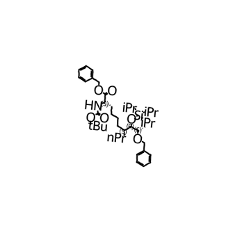 CCC[C@@H](CCCC[C@H](NC(=O)OC(C)(C)C)C(=O)OCc1ccccc1)[C@@H](O[Si](C(C)C)(C(C)C)C(C)C)[C@H](C)OCc1ccccc1